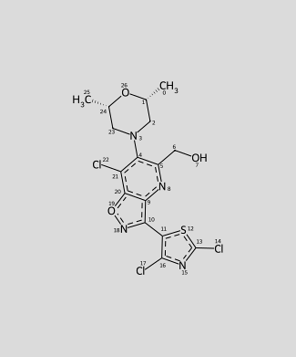 C[C@@H]1CN(c2c(CO)nc3c(-c4sc(Cl)nc4Cl)noc3c2Cl)C[C@H](C)O1